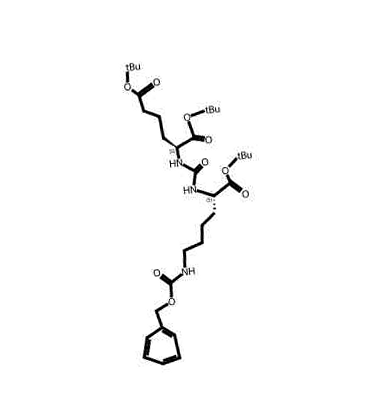 CC(C)(C)OC(=O)CCC[C@H](NC(=O)N[C@@H](CCCCNC(=O)OCc1ccccc1)C(=O)OC(C)(C)C)C(=O)OC(C)(C)C